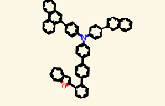 c1ccc(-c2cc3ccccc3o2)c(-c2ccc(-c3ccc(N(c4ccc(-c5ccc6ccccc6c5)cc4)c4ccc(-c5cc6ccccc6c6ccccc56)cc4)cc3)cc2)c1